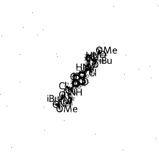 CC[C@H](C)[C@H](NC(=O)OC)C(=O)N1[C@@H](C)CC[C@H]1c1nc(Cl)c(-c2cc3c4c(c2)OCc2cc(-c5[nH]c([C@@H]6CC[C@H](C)N6C(=O)[C@@H](NC(=O)OC)[C@@H](C)CC)nc5Cl)cc(c2-4)OC3)[nH]1